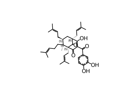 CC(C)=CCC[C@@]1(C)[C@@H](CC=C(C)C)C[C@]2(CC=C(C)C)C(=O)[C@@]1(CC=C(C)C)C(=O)C(C(=O)c1ccc(O)c(O)c1)=C2O